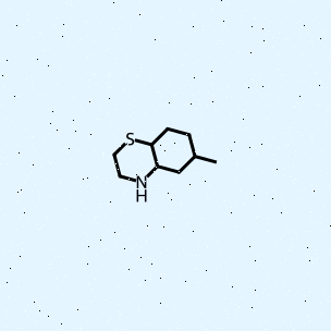 CC1CCC2SCCNC2C1